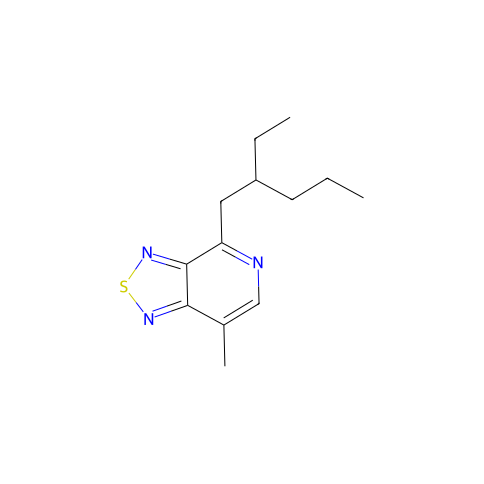 CCCC(CC)Cc1ncc(C)c2nsnc12